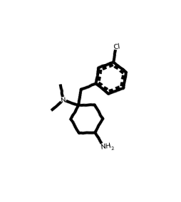 CN(C)C1(Cc2cccc(Cl)c2)CCC(N)CC1